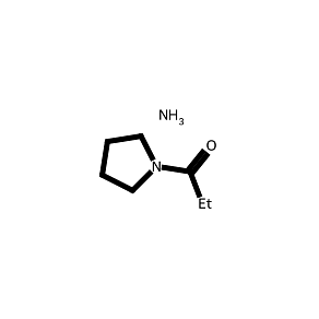 CCC(=O)N1CCCC1.N